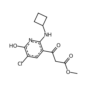 COC(=O)CC(=O)c1cc(Cl)c(O)nc1NC1CCC1